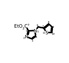 CCOC(=O)c1nccn1Cc1cccs1